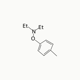 CCN(CC)Oc1ccc(C)cc1